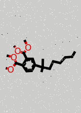 CCCCCCC(C)(C)c1ccc(C(OC)OC)c(C(OC)OC)c1